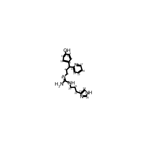 NC(=NCCC(c1ccc(O)cc1)c1ccccn1)NCCCc1c[nH]cn1